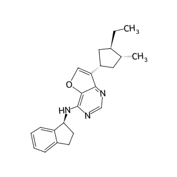 CC[C@@H]1C[C@@H](c2coc3c(N[C@H]4CCc5ccccc54)ncnc23)C[C@H]1C